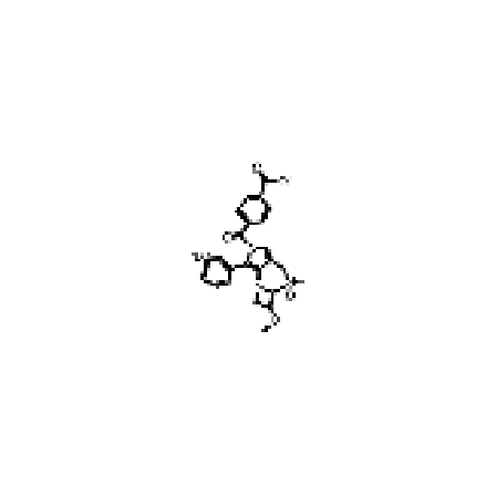 COC1CN2c3c(cn(C(=O)c4ccc(C(=O)[O-])cc4)c3-c3ccccc3)CS(=O)(=O)C12.[Na+]